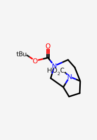 CC(C)(C)OC(=O)N1CCC2CCC(C1)N2C(=O)O